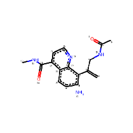 C=C(CNC(C)=O)c1cccc2c(C(=O)NC)ccnc12.N